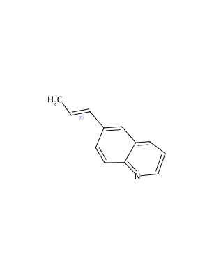 C/C=C/c1ccc2ncccc2c1